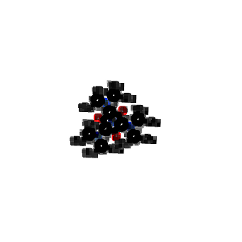 CC(C)(C)c1cc(N(c2cc(C(C)(C)C)cc(C(C)(C)C)c2)c2cc3c(=O)c4cc(N(c5cc(C(C)(C)C)cc(C(C)(C)C)c5)c5cc(C(C)(C)C)cc(C(C)(C)C)c5)cc5c(=O)c6cc(N(c7cc(C(C)(C)C)cc(C(C)(C)C)c7)c7cc(C(C)(C)C)cc(C(C)(C)C)c7)cc7c(=O)c(c2)c3n(c45)c76)cc(C(C)(C)C)c1